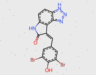 O=C1Nc2ccc3[nH]nnc3c2C1=Cc1cc(Br)c(O)c(Br)c1